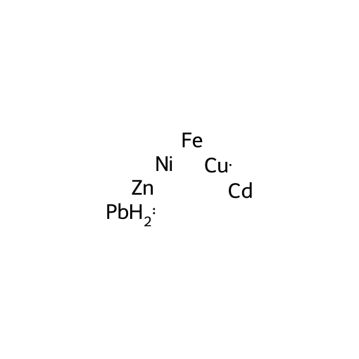 [Cd].[Cu].[Fe].[Ni].[PbH2].[Zn]